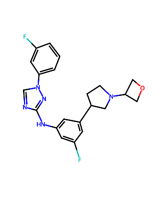 Fc1cc(Nc2ncn(-c3cccc(F)c3)n2)cc(C2CCN(C3COC3)C2)c1